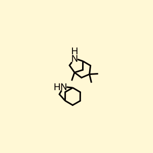 C1CC2CNC(C1)C2.CC1(C)CC2CC(C)(CN2)C1